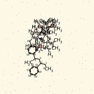 CCC(CC(C)c1ccc(CN(C)P(=N[PH](N=P(C)(N(C)C)N(C)C)(N=P(N(C)C)(N(C)C)N(C)C)N=P(N(C)C)(N(C)C)N(C)C)(N(C)C)N(C)C)cc1)c1ccccc1